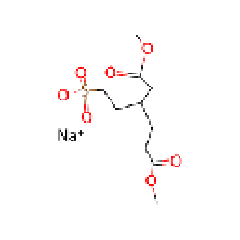 COC(=O)CCC(CCS(=O)(=O)[O-])CC(=O)OC.[Na+]